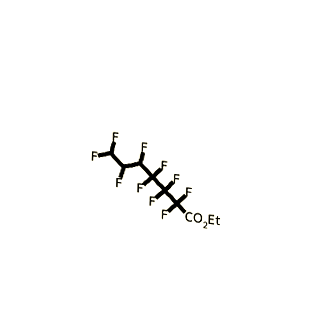 CCOC(=O)C(F)(F)C(F)(F)C(F)(F)C(F)C(F)C(F)F